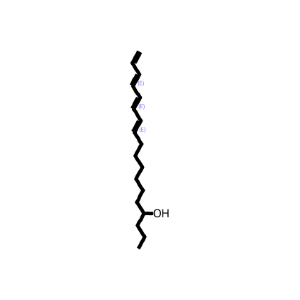 C=C/C=C/C=C/C=C/CCCCCCC(O)CCC